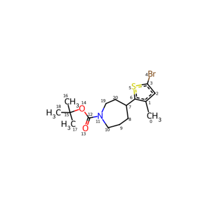 Cc1cc(Br)sc1C1CCCN(C(=O)OC(C)(C)C)CC1